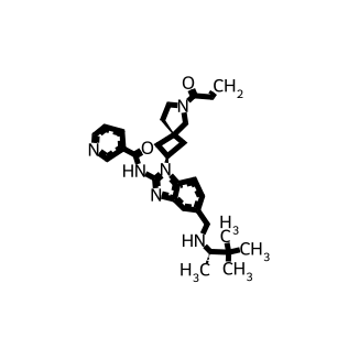 C=CC(=O)N1CC[C@]2(C1)C[C@H](n1c(NC(=O)c3cccnc3)nc3cc(CN[C@@H](C)C(C)(C)C)ccc31)C2